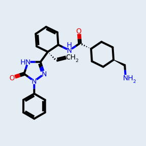 C=C[C@]1(c2nn(-c3ccccc3)c(=O)[nH]2)C=CC=CC1NC(=O)[C@H]1CC[C@H](CN)CC1